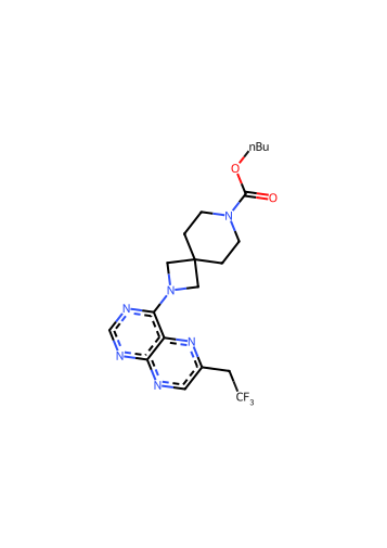 CCCCOC(=O)N1CCC2(CC1)CN(c1ncnc3ncc(CC(F)(F)F)nc13)C2